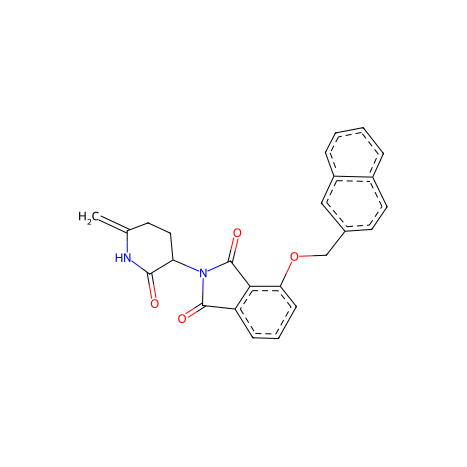 C=C1CCC(N2C(=O)c3cccc(OCc4ccc5ccccc5c4)c3C2=O)C(=O)N1